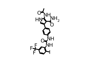 CC(=O)Nc1[nH]cc(-c2ccc(NC(=O)Nc3cc(C(F)(F)F)ccc3I)cc2)c1C(N)=O